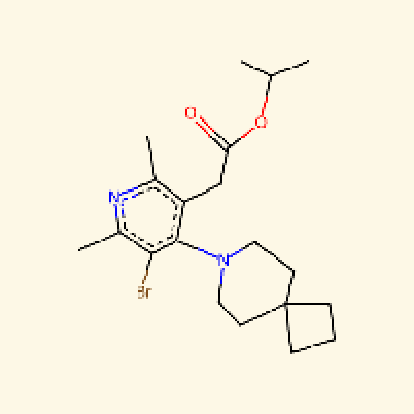 Cc1nc(C)c(CC(=O)OC(C)C)c(N2CCC3(CCC3)CC2)c1Br